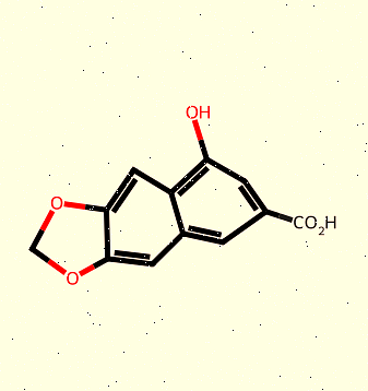 O=C(O)c1cc(O)c2cc3c(cc2c1)OCO3